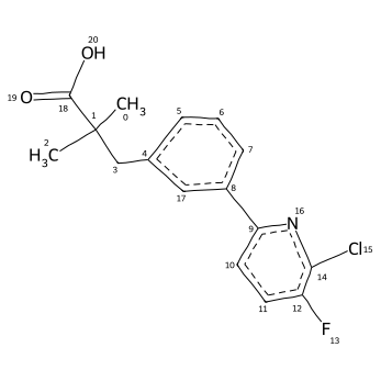 CC(C)(Cc1cccc(-c2ccc(F)c(Cl)n2)c1)C(=O)O